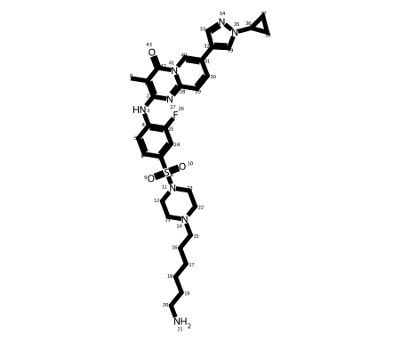 Cc1c(Nc2ccc(S(=O)(=O)N3CCN(CCCCCCN)CC3)cc2F)nc2ccc(-c3cnn(C4CC4)c3)cn2c1=O